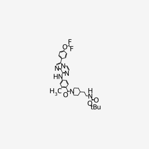 Cc1cc(Nc2nccn3c(-c4ccc(OC(F)F)cc4)cnc23)ccc1C(=O)N1CCC(CCNC(=O)OC(C)(C)C)CC1